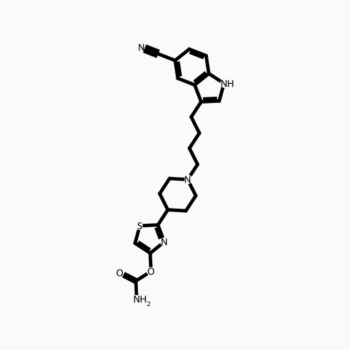 N#Cc1ccc2[nH]cc(CCCCN3CCC(c4nc(OC(N)=O)cs4)CC3)c2c1